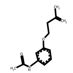 C=C(C)CCOc1cccc(NC(C)=O)c1